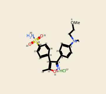 COCCN(C)c1ccc(-c2noc(C)c2-c2ccc(S(N)(=O)=O)cc2)cc1.Cl